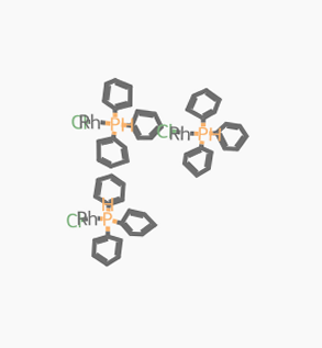 [Cl][Rh][PH](c1ccccc1)(c1ccccc1)c1ccccc1.[Cl][Rh][PH](c1ccccc1)(c1ccccc1)c1ccccc1.[Cl][Rh][PH](c1ccccc1)(c1ccccc1)c1ccccc1